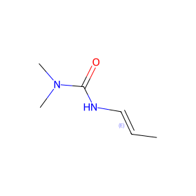 C/C=C/NC(=O)N(C)C